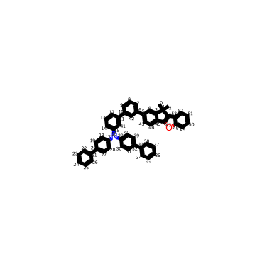 CC1(C)c2cc(-c3cccc(-c4cccc(N(c5ccc(-c6ccccc6)cc5)c5ccc(-c6ccccc6)cc5)c4)c3)ccc2-c2oc3ccccc3c21